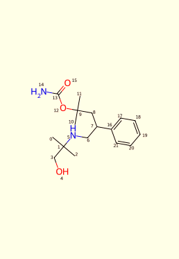 CC(C)(CO)NCC(CC(C)(C)OC(N)=O)c1ccccc1